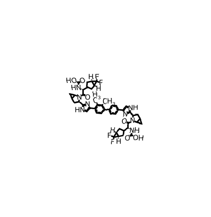 Cc1c(-c2ccc(-c3c[nH]c(C4CC5CC5N4C(=O)[C@H](NC(=O)O)C4C[C@@H]5[C@@H](C4)C5(F)F)n3)cc2)ccc(-c2c[nH]c(C3CC4CC4N3C(=O)[C@H](NC(=O)O)C3C[C@@H]4[C@@H](C3)C4(F)F)n2)c1C